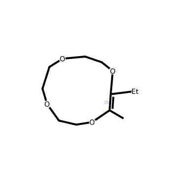 CC/C1=C(\C)OCCOCCOCCO1